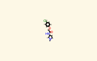 CN1CC[C@H](NC(=O)COc2ccc(Cl)cc2)C1